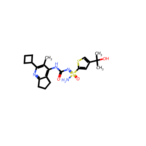 Cc1c(C2CCC2)nc2c(c1NC(=O)N=S(N)(=O)c1cc(C(C)(C)O)cs1)CCC2